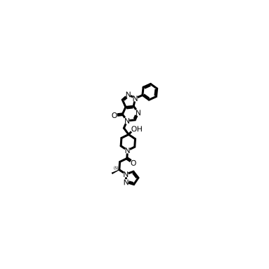 C[C@@H](CC(=O)N1CCC(O)(Cn2cnc3c(cnn3-c3ccccc3)c2=O)CC1)n1cccn1